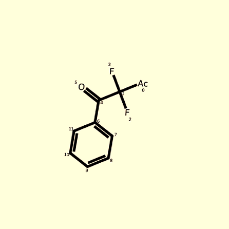 CC(=O)C(F)(F)C(=O)c1ccccc1